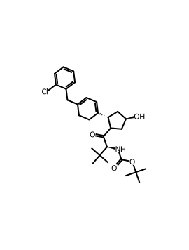 CC(C)(C)OC(=O)N[C@H](C(=O)C1C[C@H](O)C[C@H]1C1=CC=C(Cc2ccccc2Cl)CC1)C(C)(C)C